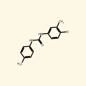 Cc1ccc(NC(=O)Nc2ccc(Cl)c(C)c2)cc1